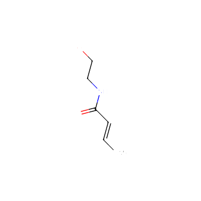 CSC=CC(=O)NCCO